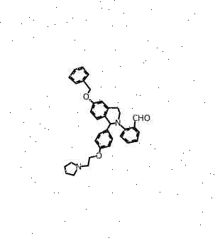 O=Cc1ccccc1N1CCc2cc(OCc3ccccc3)ccc2C1c1ccc(OCCN2CCCC2)cc1